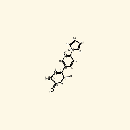 CC1CC(=O)NN=C1c1ccc(-n2cccc2)nc1